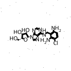 Nc1ccc(Cl)c(N)c1CNc1ncnc2c1ncn2[C@@H]1O[C@H](CO)[C@@H](O)[C@H]1O